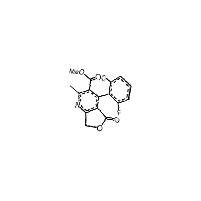 COC(=O)c1c(C)nc2c(c1-c1c(F)cccc1Cl)C(=O)OC2